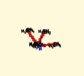 CC(C)(CN(CCOCCOCCCOCCOCCOC(C)(C)C)C(C)(C)N(CCOCCOCCOCCOCCOCCOC(C)(C)C)C(C)(C)C)NCCOCCOCCCCOCCOCCOC(C)(C)C